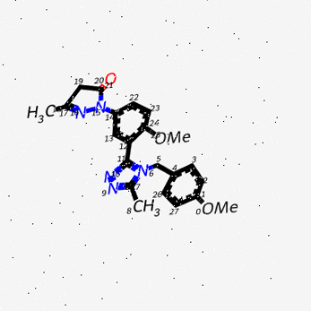 COc1ccc(Cn2c(C)nnc2-c2cc(N3N=C(C)CC3=O)ccc2OC)cc1